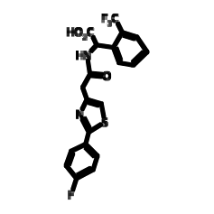 O=C(Cc1csc(-c2ccc(F)cc2)n1)NC(C(=O)O)c1ccccc1C(F)(F)F